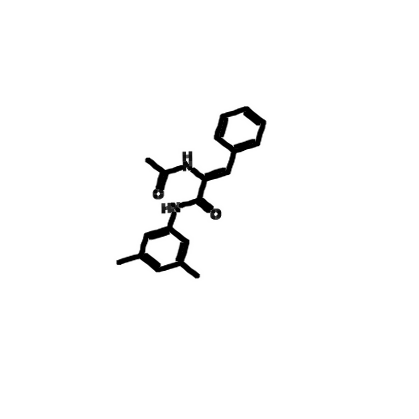 CC(=O)NC(=Cc1ccccc1)C(=O)Nc1cc(C)cc(C)c1